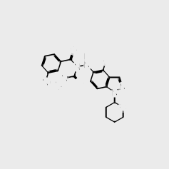 NC(=O)N(Nc1ccc2c(cnn2C2CCCCO2)c1Cl)C(=O)c1cccc([N+](=O)[O-])c1